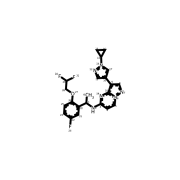 CC(Nc1ccn2ncc(-c3cnn(C4CC4)c3)c2n1)c1cc(F)ccc1OCC(F)F